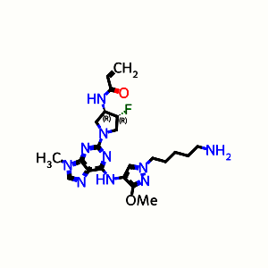 C=CC(=O)N[C@@H]1CN(c2nc(Nc3cn(CCCCCN)nc3OC)c3ncn(C)c3n2)C[C@H]1F